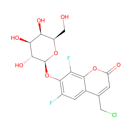 O=c1cc(CCl)c2cc(F)c(O[C@@H]3O[C@H](CO)[C@H](O)[C@H](O)[C@H]3O)c(F)c2o1